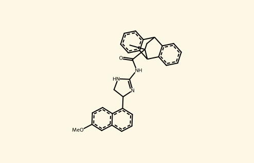 COc1ccc2c(C3CNC(NC(=O)C4(C)CC5c6ccccc6C4c4ccccc45)=N3)cccc2c1